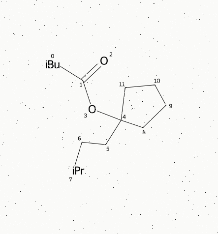 CCC(C)C(=O)OC1(CCC(C)C)CCCC1